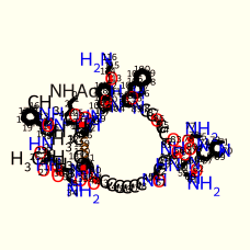 CC(=O)NCCCC[C@@H]1NC(=O)[C@H](Cc2c[nH]c3c(C)cccc23)NC(=O)[C@H]([C@@H](C)O)NC(=O)[C@H](CC(N)=O)NC(=O)[C@H]2NC(=O)CCCCCCNC(=O)CC[C@@H](C(=O)N[C@@H](CC(N)=O)C(=O)N[C@H]3Cc4cnccc4N(CC(N)=O)C3=O)NC(=O)CCOCCNC(=O)C(Cc3ccc4ccccc4c3)NC(=O)[C@H](Cc3ccc(OCCN)cc3)NC(=O)[C@@H](NC1=O)C(C)(C)SSC2(C)C